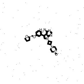 Nc1ncnc2c1c(-c1cccc(OC[C@@H]3CCCO3)c1)cn2[C@H]1C[C@@H](N2CC[S+]([O-])CC2)C1